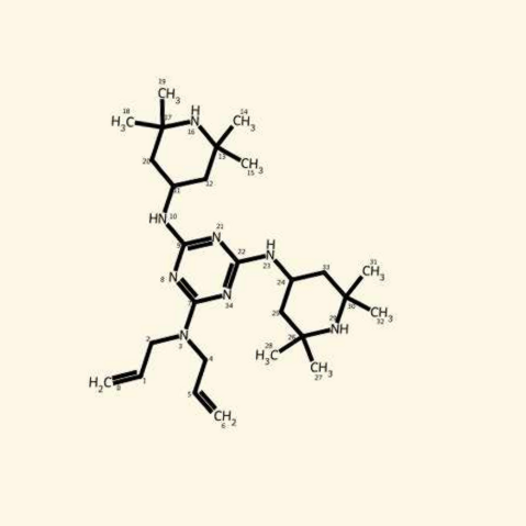 C=CCN(CC=C)c1nc(NC2CC(C)(C)NC(C)(C)C2)nc(NC2CC(C)(C)NC(C)(C)C2)n1